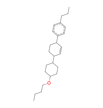 CCCCOC1CCC(C2C=CC(c3ccc(CCC)cc3)CC2)CC1